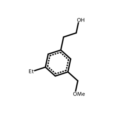 CCc1cc(CCO)cc(COC)c1